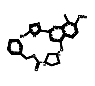 COc1ccc2c(O[C@@H]3CC[C@H](C(=O)OCc4ccccc4)C3)cc(-c3nc(C(C)C)cs3)nc2c1C